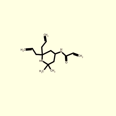 C=CCC1(CC=C)CC(NC(=O)C=C)CC(C)(C)N1